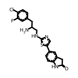 NC(CNc1ncc(-c2ccc3c(c2)CC(=O)N3)s1)Cc1ccc(Cl)c(F)c1